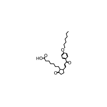 CCCCCCCOc1ccc(C(=O)C=CC2CCC(=O)C2CCCCCCC(=O)O)cc1